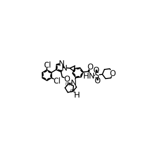 O=C(NS(=O)(=O)C1CCOCC1)c1cccc(N2C[C@H]3CC[C@]2(OCc2c(-c4c(Cl)cccc4Cl)cnn2C2CC2)C3)c1